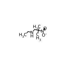 CCNCC(C)(C)[N+](=O)[O-]